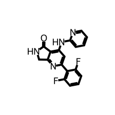 O=C1NCc2nc(-c3c(F)cccc3F)cc(Nc3ccccn3)c21